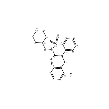 O=C1N(Cc2c(F)cccc2Cl)c2ccccc2S(=O)(=O)N1CC1CCOCC1